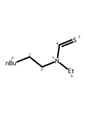 CCCCCCN([C]=S)CC